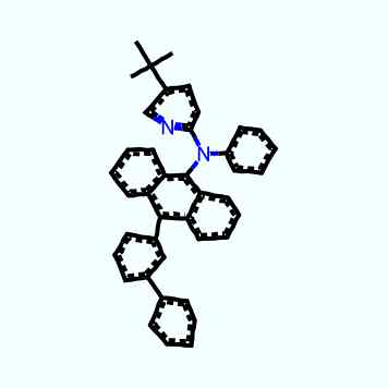 CC(C)(C)c1ccc(N(c2ccccc2)c2c3ccccc3c(-c3cccc(-c4ccccc4)c3)c3ccccc23)nc1